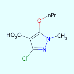 CCCOc1c(C(=O)O)c(Cl)nn1C